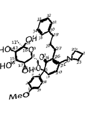 COc1ccc(C2(OC[C@H]3O[C@](C)(O)[C@H](O)[C@@H](O)[C@@H]3O)C=CC(N3CCC3)=C(CCCc3ccccc3)C2=O)cc1